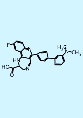 CN(C)c1cccc(-c2ccc(-c3nc4ccc(F)cc4c4c3C=NCC(C(=O)O)N4)cc2)c1